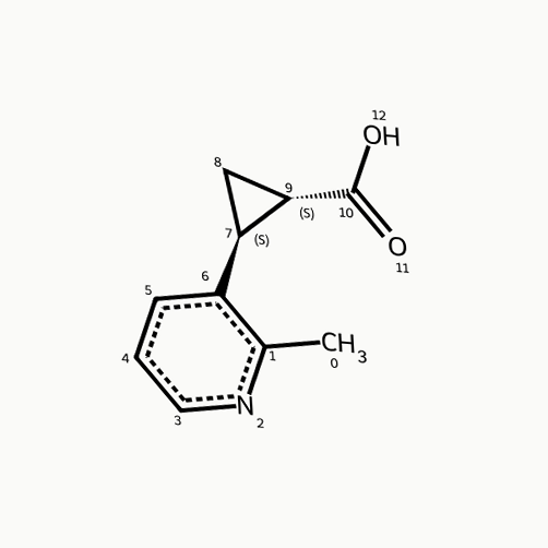 Cc1ncccc1[C@H]1C[C@@H]1C(=O)O